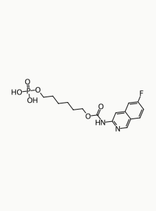 O=C(Nc1cc2cc(F)ccc2cn1)OCCCCCCOP(=O)(O)O